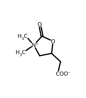 C[N+]1(C)CC(CC(=O)[O-])OC1=O